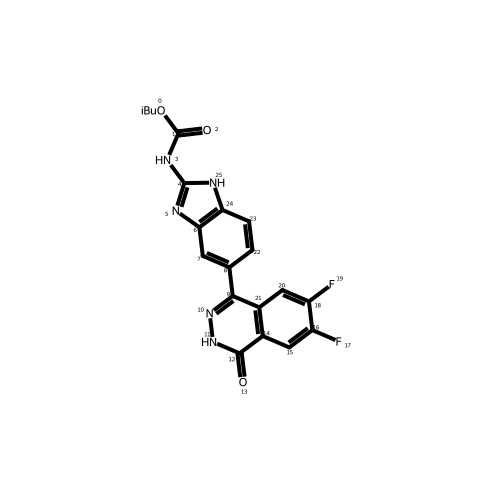 CC(C)COC(=O)Nc1nc2cc(-c3n[nH]c(=O)c4cc(F)c(F)cc34)ccc2[nH]1